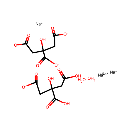 O.O.O=C([O-])CC(O)(CC(=O)O)C(=O)O.O=C([O-])CC(O)(CC(=O)[O-])C(=O)[O-].[Na+].[Na+].[Na+].[Na+]